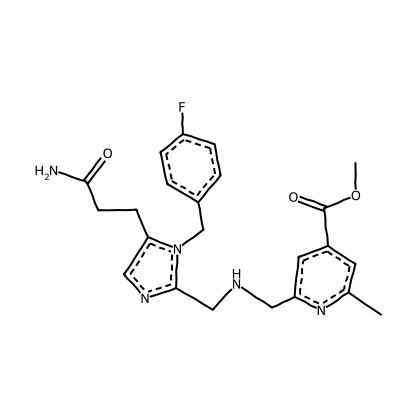 COC(=O)c1cc(C)nc(CNCc2ncc(CCC(N)=O)n2Cc2ccc(F)cc2)c1